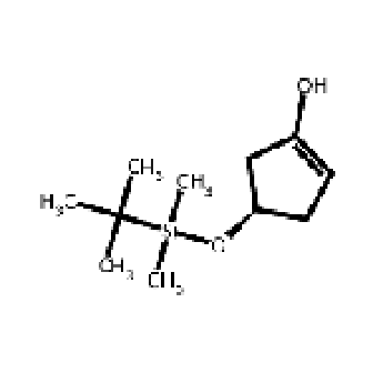 CC(C)(C)[Si](C)(C)O[C@@H]1CC=C(O)C1